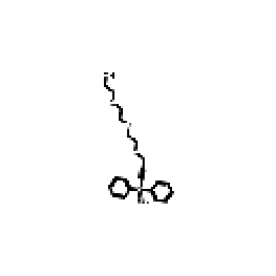 CC(C)(C)S(C#CCOCCOCCOCCO)(c1ccccc1)c1ccccc1